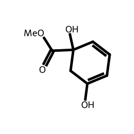 COC(=O)C1(O)C=CC=C(O)C1